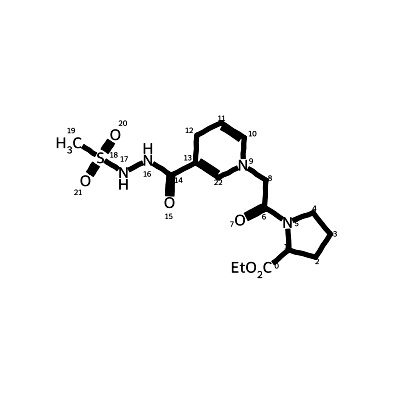 CCOC(=O)C1CCCN1C(=O)CN1C=CCC(C(=O)NNS(C)(=O)=O)=C1